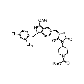 COc1nn(Cc2ccc(Cl)cc2C(F)(F)F)c2ccc(C=C3SC(=O)N(C4CCN(C(=O)OCC(C)C)CC4)C3=O)cc12